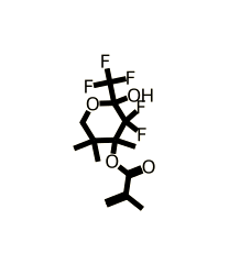 C=C(C)C(=O)OC1(C)C(C)(C)COC(O)(C(F)(F)F)C1(F)F